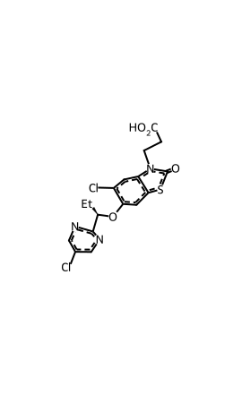 CC[C@@H](Oc1cc2sc(=O)n(CCC(=O)O)c2cc1Cl)c1ncc(Cl)cn1